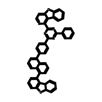 C1=CC2Oc3cccc(-c4cccc5c(-c6ccc(-c7nc(-c8ccccc8)nc(-c8nccc9oc%10ccccc%10c89)n7)cc6)cccc45)c3C2C=C1